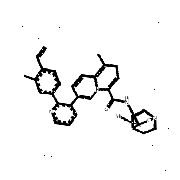 C=Cc1ccc(-c2ncccc2C2=CN3C(C(=O)N[C@@H]4CN5CCC4CC5)=CCC(C)=C3C=C2)cc1C